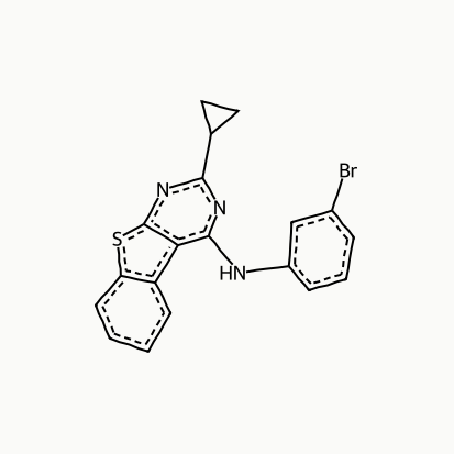 Brc1cccc(Nc2nc(C3CC3)nc3sc4ccccc4c23)c1